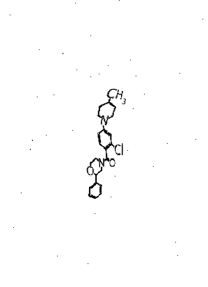 CC1CCN(c2ccc(C(=O)N3CCOC(c4ccccc4)C3)c(Cl)c2)CC1